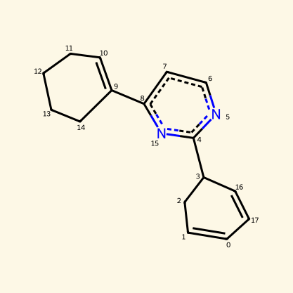 C1=CCC(c2nccc(C3=CCCCC3)n2)C=C1